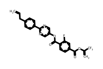 C=CCc1ccc(-c2ncc(OC(=O)c3ccc(C(=O)OC(=C)C(F)(F)F)cc3F)cn2)cc1